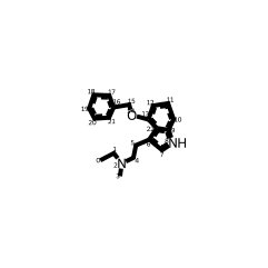 CCN(C)CCc1c[nH]c2cccc(OCc3ccccc3)c12